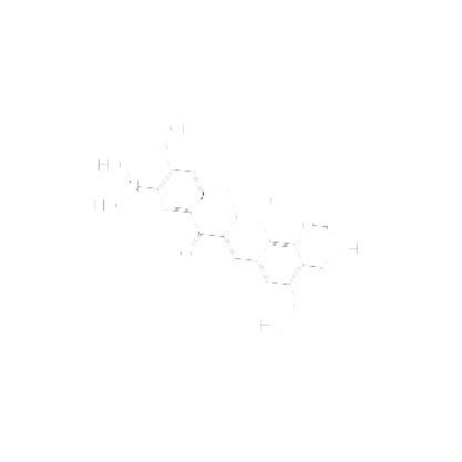 CC/C(=C\c1cc(OC)c(OC)c(OC)c1OC)C(=O)c1ccc(OC)c(N(C)C)c1